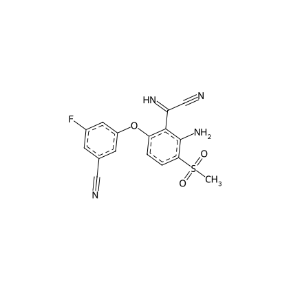 CS(=O)(=O)c1ccc(Oc2cc(F)cc(C#N)c2)c(C(=N)C#N)c1N